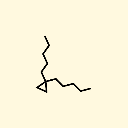 CCCCCC1(CCCCC)CC1